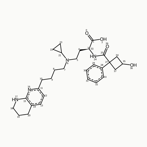 O=C(O)[C@H](CCN(CCCCc1ccc2c(n1)NCCC2)C1CC1)NC(=O)C1(c2ccccc2)CC(O)C1